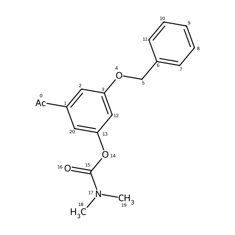 CC(=O)c1cc(OCc2ccccc2)cc(OC(=O)N(C)C)c1